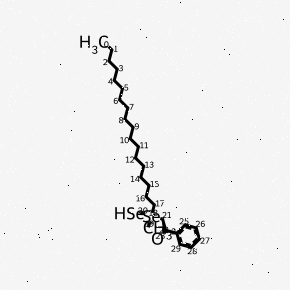 CCCCCCCCCCCCCCCCCC[Se](C)([SeH])CC(=O)c1ccccc1